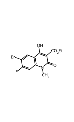 CCOC(=O)c1c(O)c2cc(Br)c(F)cc2n(C)c1=O